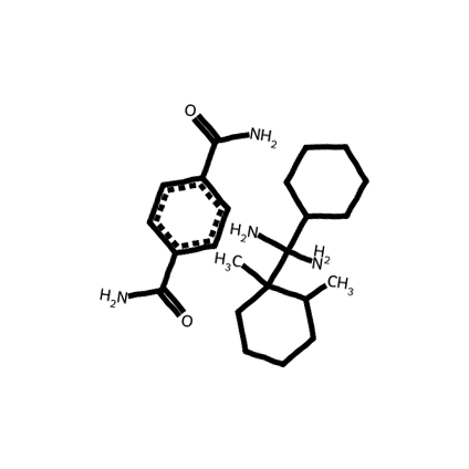 CC1CCCCC1(C)C(N)(N)C1CCCCC1.NC(=O)c1ccc(C(N)=O)cc1